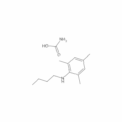 CCCCNc1c(C)cc(C)cc1C.NC(=O)O